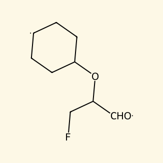 O=[C]C(CF)OC1CC[CH]CC1